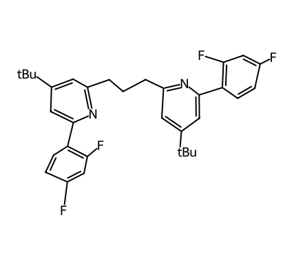 CC(C)(C)c1cc(CCCc2cc(C(C)(C)C)cc(-c3ccc(F)cc3F)n2)nc(-c2ccc(F)cc2F)c1